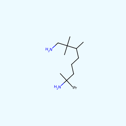 CC(CCCC(C)(N)C(C)C)C(C)(C)CN